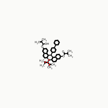 C=C(C)C(=O)Oc1ccc2c(C(c3ccc(-c4ccccc4)cc3)c3c(OC(=O)C(=C)C)ccc4cc(OC(O)C(=C)C)ccc34)c(OC(=O)C(=C)C)ccc2c1